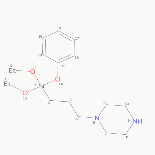 CCO[Si](CCCN1CCNCC1)(OCC)Oc1ccccc1